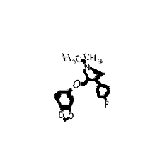 CC(C)N1CCC(c2ccc(F)cc2)C(COc2ccc3c(c2)OCO3)C1